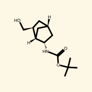 CC(C)(C)OC(=O)N[C@H]1C[C@H]2C[C@H](CO)[C@@H]1C2